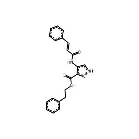 O=C(C=Cc1ccccc1)Nc1c[nH]nc1C(=O)NCCc1ccccc1